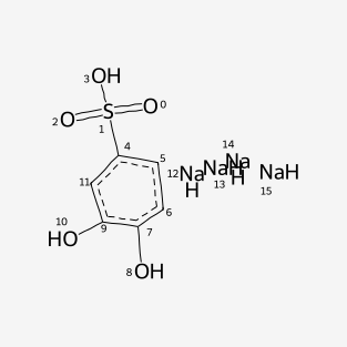 O=S(=O)(O)c1ccc(O)c(O)c1.[NaH].[NaH].[NaH].[NaH]